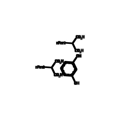 CCCCCC(C(=O)O)C(=O)O.CCCCCC(C(=O)O)C(=O)O.Oc1cccc(O)c1